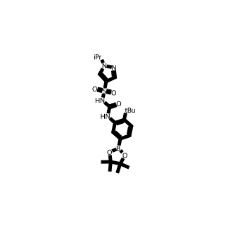 CC(C)n1cc(S(=O)(=O)NC(=O)Nc2cc(B3OC(C)(C)C(C)(C)O3)ccc2C(C)(C)C)cn1